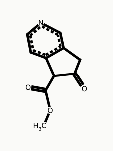 COC(=O)C1C(=O)Cc2cnccc21